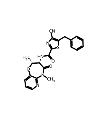 C[C@H]1Oc2cccnc2N(C)C(=O)[C@H]1NC(=O)c1nc(C#N)c(Cc2ccccc2)s1